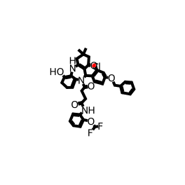 CC1(C)CC(=O)C2=C(C1)NC1=C(O)CCC=C1N(C(=O)CCC(=O)Nc1ccccc1OC(F)F)C2c1ccc(OCc2ccccc2)cc1Cl